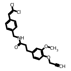 C#CCOc1ccc(CCC(=O)NCc2ccc(C=C(Cl)Cl)cc2)cc1OC